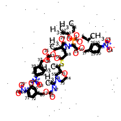 CCCOP(OCCC)(OCCC)=C(C(=O)OCc1ccc([N+](=O)[O-])cc1)N1C(=O)C(C(C)OC(=O)OCc2ccc([N+](=O)[O-])cc2)C1CC(=O)SC(C)C1CN(C(C)=NC(=O)OCc2ccc([N+](=O)[O-])cc2)CCO1